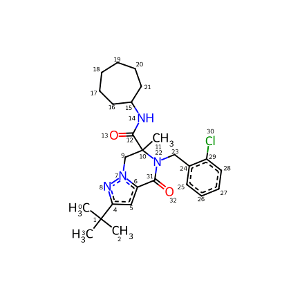 CC(C)(C)c1cc2n(n1)CC(C)(C(=O)NC1CCCCCC1)N(Cc1ccccc1Cl)C2=O